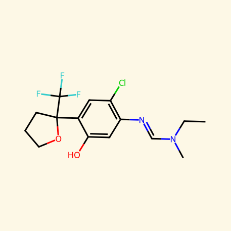 CCN(C)C=Nc1cc(O)c(C2(C(F)(F)F)CCCO2)cc1Cl